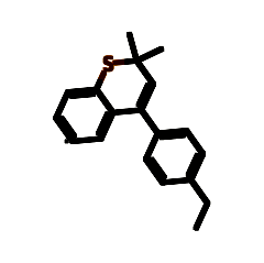 CCc1ccc(C2=CC(C)(C)Sc3cc[c]cc32)cc1